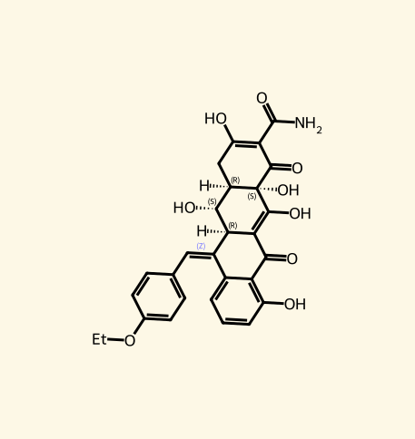 CCOc1ccc(/C=C2\c3cccc(O)c3C(=O)C3=C(O)[C@]4(O)C(=O)C(C(N)=O)=C(O)C[C@@H]4[C@@H](O)[C@@H]32)cc1